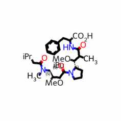 CC[C@H](C)[C@@H](C(CC(=O)N1CCC[C@H]1C(OC)C(C)C(=O)NC(Cc1ccccc1)C(=O)O)OC)N(C)C(=O)CC(C)C